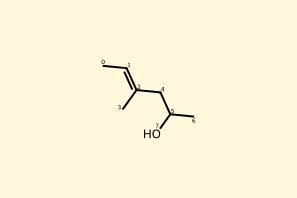 C/C=C(\C)CC(C)O